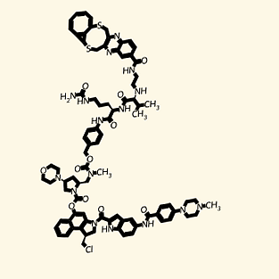 CC(C)[C@@H](NCCNC(=O)c1ccc2nc3c(nc2c1)CSC1C2=C1C(=C/C=C\C=C/2)\SC3)C(=O)N[C@H](CCCNC(N)=O)C(=O)Nc1ccc(COC(=O)N(C)C[C@@H]2C[C@@H](N3CCOCC3)CN2C(=O)Oc2cc3c(c4ccccc24)[C@H](CCl)CN3C(=O)c2cc3cc(NC(=O)c4ccc(N5CCN(C)CC5)cc4)ccc3[nH]2)cc1